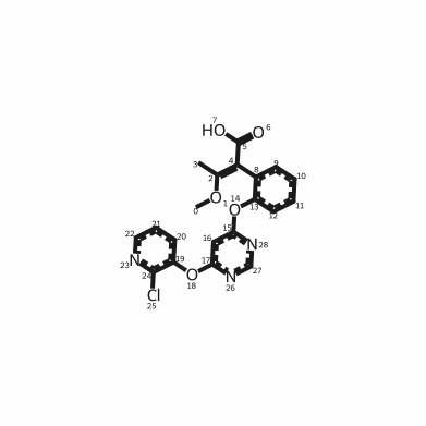 CO/C(C)=C(/C(=O)O)c1ccccc1Oc1cc(Oc2cccnc2Cl)ncn1